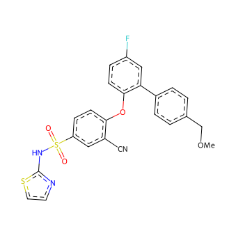 COCc1ccc(-c2cc(F)ccc2Oc2ccc(S(=O)(=O)Nc3nccs3)cc2C#N)cc1